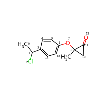 CC(Cl)c1ccc(OC2(C)CC2=O)cc1